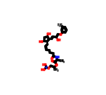 CC(CON(O)O)OC(=O)C(C)NC(=O)CCC/C=C\C[C@@H]1[C@@H](/C=C/[C@@H](O)COc2cccc(C(F)(F)F)c2)[C@H](O)C[C@@H]1O